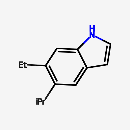 CCc1cc2[nH]ccc2cc1C(C)C